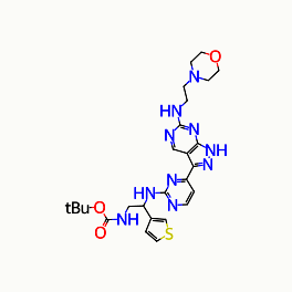 CC(C)(C)OC(=O)NCC(Nc1nccc(-c2n[nH]c3nc(NCCN4CCOCC4)ncc23)n1)c1ccsc1